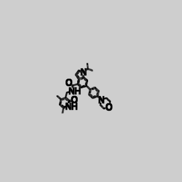 Cc1cc(C)c(CNC(=O)c2cc(-c3ccc(N4CCOCC4)cc3)cc3c2ccn3C(C)C)c(=O)[nH]1